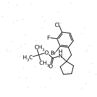 CC(C)(C)OC(=O)NC1(Cc2ccc(Cl)c(F)c2Br)CCCC1